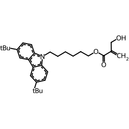 C=C(CO)C(=O)OCCCCCCn1c2ccc(C(C)(C)C)cc2c2cc(C(C)(C)C)ccc21